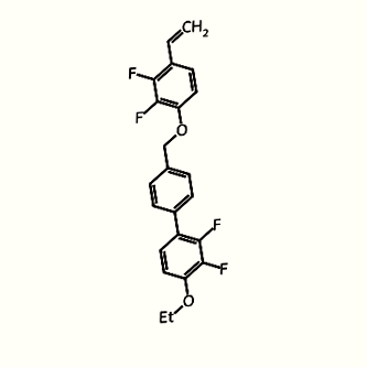 C=Cc1ccc(OCc2ccc(-c3ccc(OCC)c(F)c3F)cc2)c(F)c1F